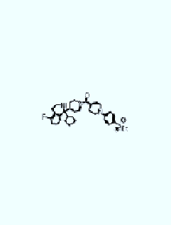 CCS(=O)(=O)c1ccc(N2CCC(C(=O)N3CCC(C4(C5CCCC5)NCCc5c(F)cccc54)CC3)CC2)cc1